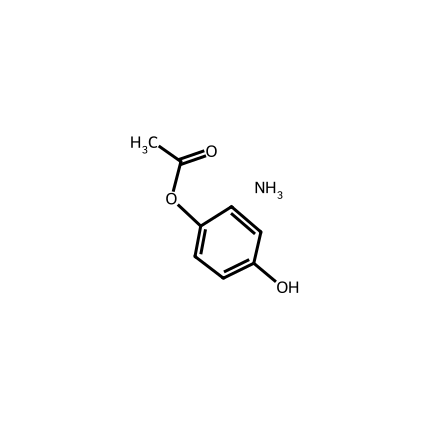 CC(=O)Oc1ccc(O)cc1.N